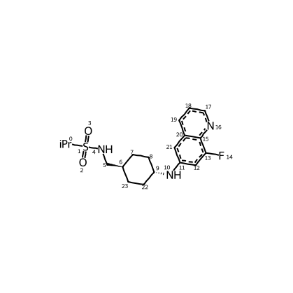 CC(C)S(=O)(=O)NC[C@H]1CC[C@H](Nc2cc(F)c3ncccc3c2)CC1